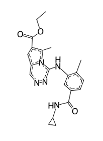 CCOC(=O)c1cc2cnnc(Nc3cc(C(=O)NC4CC4)ccc3C)n2c1C